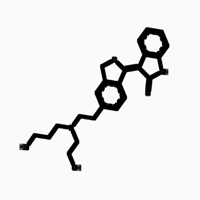 O=C1Nc2ccccc2/C1=C1\OCc2cc(CCN(CCO)CCCO)ccc21